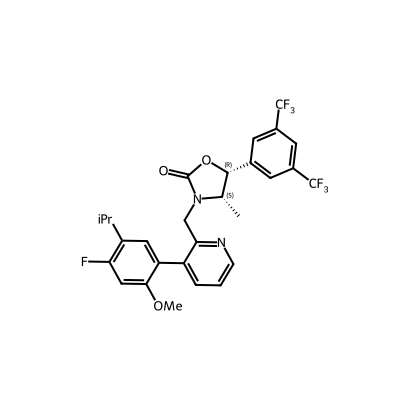 COc1cc(F)c(C(C)C)cc1-c1cccnc1CN1C(=O)O[C@H](c2cc(C(F)(F)F)cc(C(F)(F)F)c2)[C@@H]1C